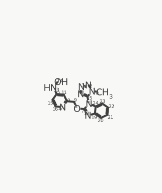 Cn1nnnc1-n1c(OCc2cc(NO)ccn2)nc2ccccc21